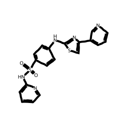 O=S(=O)(Nc1ccccn1)c1ccc(Nc2nc(-c3cccnc3)cs2)cc1